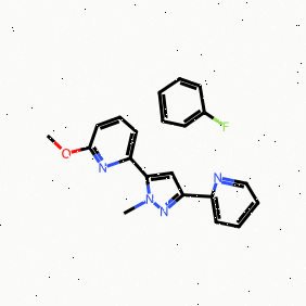 COc1cccc(-c2cc(-c3ccccn3)nn2C)n1.Fc1ccccc1